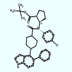 CC(C)(C)OC(=O)N1CCC[C@H]1[C@@H](C(=O)N1CCN(c2c(-c3ccccc3)cnc3[nH]ccc23)CC1)c1ccc(Cl)cc1